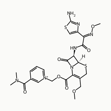 COCC1=C(C(=O)OC[n+]2cccc(C(=O)N(C)C)c2)N2C(=O)[C@@H](NC(=O)/C(=N/OC)c3csc(N)n3)[C@H]2SC1